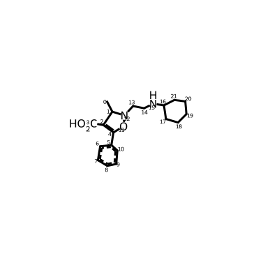 CC1C(C(=O)O)=C(c2ccccc2)ON1CCNC1CCCCC1